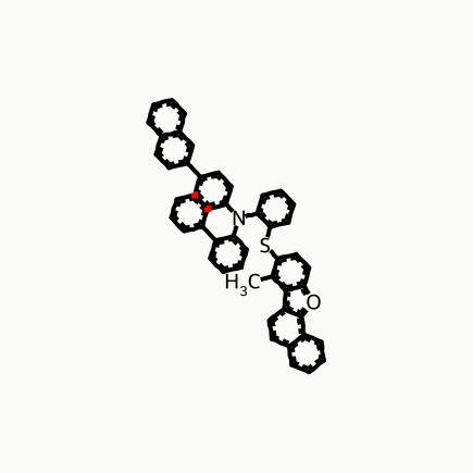 Cc1c(Sc2ccccc2N(c2ccc(-c3ccc4ccccc4c3)cc2)c2ccccc2-c2ccccc2)ccc2oc3c4ccccc4ccc3c12